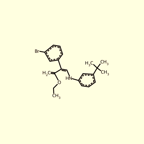 C=C(OCC)/C(=C\Nc1cccc(C(C)(C)C)c1)c1cccc(Br)c1